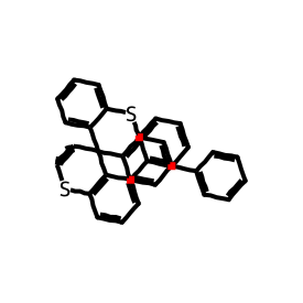 c1ccc(-c2ccc3c(c2)Sc2ccccc2C32c3ccccc3Sc3cccc(-c4ccccc4)c32)cc1